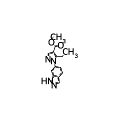 CCc1c(C(=O)OC)cnn1-c1ccc2cn[nH]c2c1